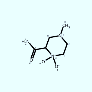 CN1CC[N+]([O-])([O-])C(C(N)=O)C1